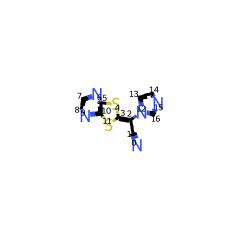 N#CC(=C1Sc2nccnc2S1)n1ccnc1